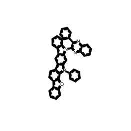 c1ccc(-c2nc3ccccc3nc2-n2c3ccccc3c3cc4c5ccc6c7ccccc7oc6c5n(-c5ccccc5)c4cc32)cc1